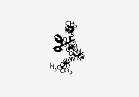 Cc1ccc(SCC2=C(C(=O)OC(c3ccccc3)c3ccccc3)N3C(=O)C(NC(=O)/C(=N\OCC(=O)OC(C)(C)C)c4cscn4)[C@H]3SC2)nn1